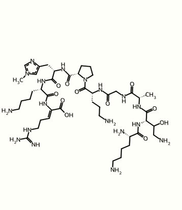 C[C@H](NC(=O)[C@@H](NC(=O)[C@@H](N)CCCCN)C(O)CN)C(=O)NCC(=O)N[C@H](CCCN)C(=O)N1CCC[C@H]1C(=O)N[C@@H](Cc1cn(C)cn1)C(=O)N[C@@H](CCCCN)C(=O)N/C(=C\CCNC(=N)N)C(=O)O